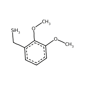 COc1cccc(C[SiH3])c1OC